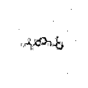 C=Nc1ncccc1NCc1ccc2nc(NC(=O)C(F)(F)F)cn2c1